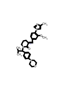 COc1cc(/C=C2\CCCN(C(c3ccc(N4CCOCC4)cc3)C(C)C)C2=O)ccc1-n1cnc(C)c1